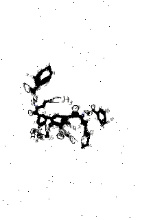 CCC/C(=N\OC(=O)c1ccccc1)C(=O)c1cc([N+](=O)[O-])c2c(c1)c1cc(C(=O)/C(CCC3CCCC3)=N/OC(=O)c3ccccc3)cc([N+](=O)[O-])c1n2CC